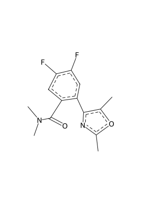 Cc1nc(-c2cc(F)c(F)cc2C(=O)N(C)C)c(C)o1